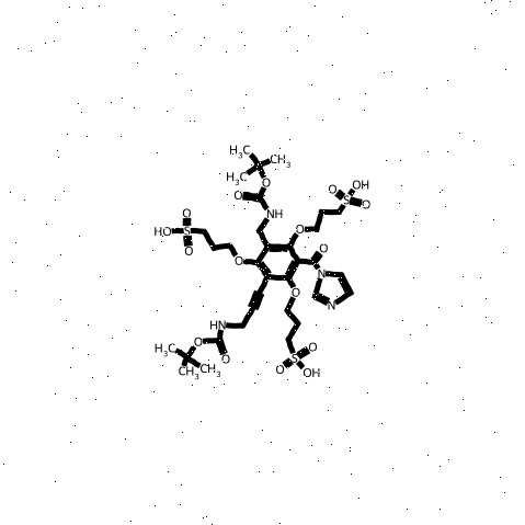 CC(C)(C)OC(=O)NCC#Cc1c(OCCCS(=O)(=O)O)c(CNC(=O)OC(C)(C)C)c(OCCCS(=O)(=O)O)c(C(=O)n2ccnc2)c1OCCCS(=O)(=O)O